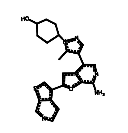 Cc1c(-c2cnc(N)c3oc(-c4csc5cnccc45)cc23)cnn1C1CCC(O)CC1